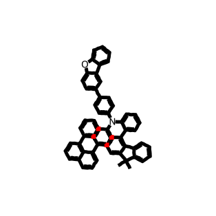 CC1(C)c2ccccc2-c2c(-c3ccccc3N(c3ccc(-c4ccc5oc6ccccc6c5c4)cc3)c3ccc(-c4cccc5cccc(-c6ccccc6)c45)cc3)cccc21